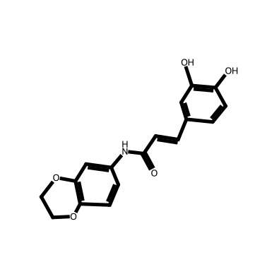 O=C(/C=C/c1ccc(O)c(O)c1)Nc1ccc2c(c1)OCCO2